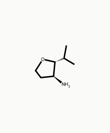 CC(C)[C@H]1OCC[C@@H]1N